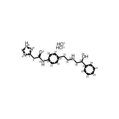 Cl.Cl.O=C(Cc1nc[nH]n1)Nc1ccc(CCNCC(O)c2ccccc2)cc1